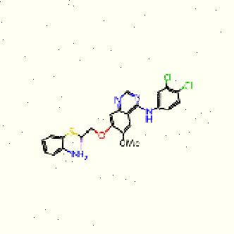 COc1cc2c(Nc3ccc(Cl)c(Cl)c3)ncnc2cc1OCC(I)Sc1ccccc1N